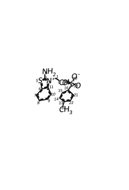 CC[n+]1c(N)sc2ccccc21.Cc1ccc(S(=O)(=O)[O-])cc1